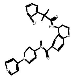 CN(C(=O)c1ccc2c(c1)C(NC(=O)C(C)(C)c1ccccc1Cl)CCO2)C1CCN(c2ccncc2)CC1